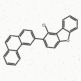 Clc1c(-c2ccc3ccc4ccccc4c3c2)ccc2oc3ccccc3c12